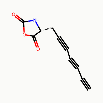 C#CC#CC#CC[C@H]1NC(=O)OC1=O